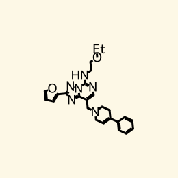 CCOCCNc1ncc(CN2CC=C(c3ccccc3)CC2)c2nc(-c3ccco3)nn12